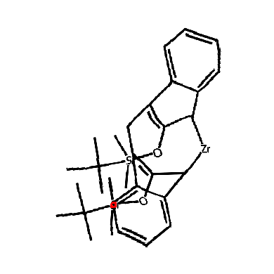 CC(C)(C)[Si](C)(C)OC1=C2CC3=C(O[Si](C)(C)C(C)(C)C)[CH]([Zr][CH]1c1ccccc12)c1ccccc13